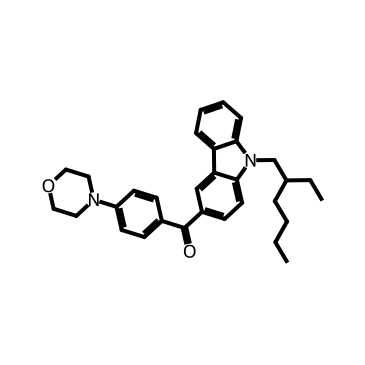 CCCCC(CC)Cn1c2ccccc2c2cc(C(=O)c3ccc(N4CCOCC4)cc3)ccc21